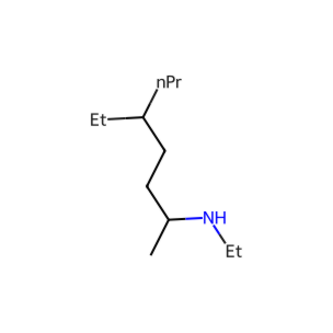 CCCC(CC)CCC(C)NCC